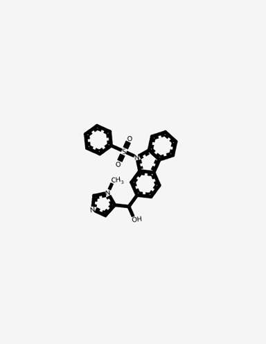 Cn1cncc1C(O)c1ccc2c3ccccc3n(S(=O)(=O)c3ccccc3)c2c1